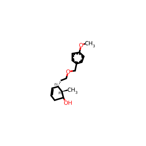 COc1ccc(COCC[C@H]2C=CCC(O)[C@@H]2C)cc1